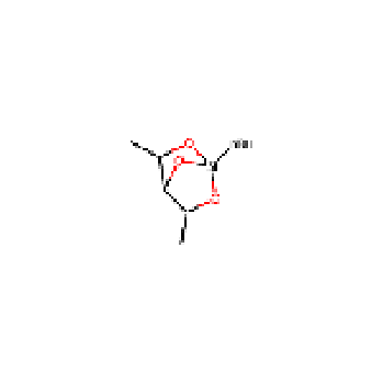 CCCC[Si]12OC(C)C(O1)C(C)O2